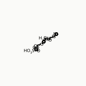 C/C(=N\NC(=O)CCSSc1ccccn1)c1ccc(OCCCC(=O)ON2C(=O)CC(S(=O)(=O)O)C2=O)cc1